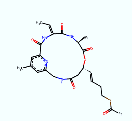 C/C=C1\NC(=O)c2cc(C)cc(n2)CNC(=O)C[C@@H](/C=C/CCSC(=O)CC)OC(=O)[C@H](C(C)C)NC1=O